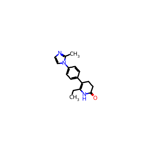 CCC1=C(c2ccc(-n3ccnc3C)cc2)CCC(=O)N1